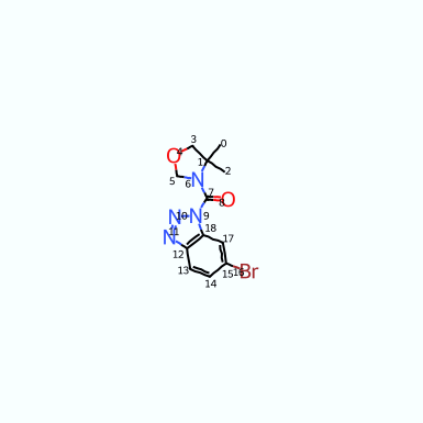 CC1(C)COCN1C(=O)n1nnc2ccc(Br)cc21